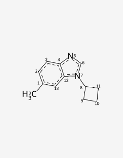 Cc1ccc2ncn(C3CCC3)c2c1